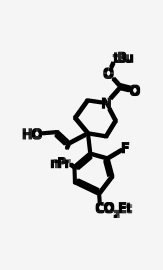 CCCc1cc(C(=O)OCC)cc(F)c1C1(C(C)=CO)CCN(C(=O)OC(C)(C)C)CC1